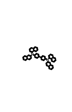 c1ccc2cc(N(c3ccc(-c4ccc(N(c5ccc6ccccc6c5)c5cccc6ccccc56)cc4)cc3)c3cccc4ccccc34)ccc2c1